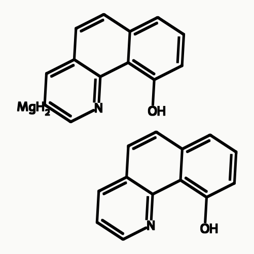 Oc1cccc2ccc3cccnc3c12.Oc1cccc2ccc3cccnc3c12.[MgH2]